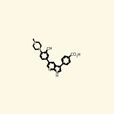 CN1CCN(c2ccc(-c3cnc4[nH]cc(-c5ccc(C(=O)O)cc5)c4c3)cc2C#N)CC1